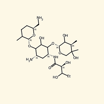 CCC(O)[C@H](O)C(=O)N[C@@H]1C[C@H](N)C(O[C@H]2O[C@H](CN)CCC2C)C(O)C1O[C@H]1OCC(C)(O)[C@H](C)C1O